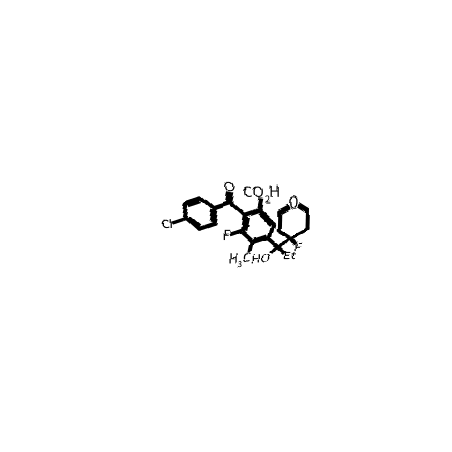 CCC(O)(c1cc(C(=O)O)c(C(=O)c2ccc(Cl)cc2)c(F)c1C)C1(F)CCOCC1